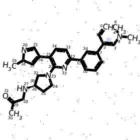 C=C/C(=C\N(C)C)c1cccc(-c2ccc(C3=CC(C)N=C3)c(N3CC[C@@H](NCC(C)=O)C3)n2)c1